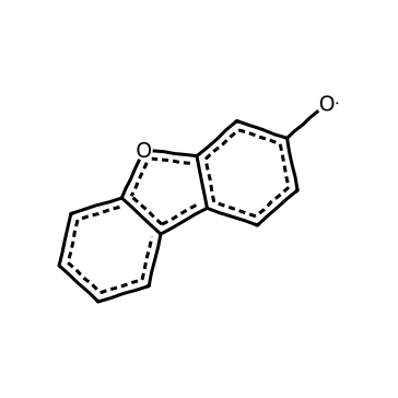 [O]c1ccc2c(c1)oc1ccccc12